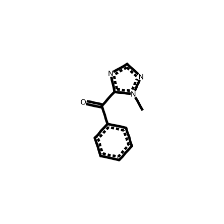 Cn1ncnc1C(=O)c1ccccc1